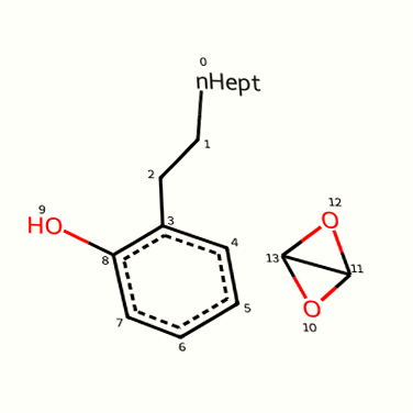 CCCCCCCCCc1ccccc1O.O1C2OC12